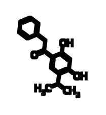 CC(C)c1cc(C(=O)Cc2ccccc2)c(O)cc1O